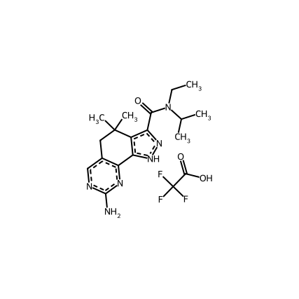 CCN(C(=O)c1n[nH]c2c1C(C)(C)Cc1cnc(N)nc1-2)C(C)C.O=C(O)C(F)(F)F